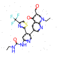 CCNC(=O)Nc1cc(-c2nc(C(F)(F)F)cs2)c(-c2cnc3c(c2)c(=O)c(C=O)cn3CC)cn1